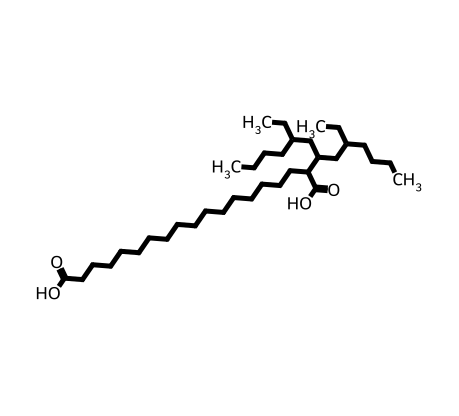 CCCCC(CC)CC(CC(CC)CCCC)C(CCCCCCCCCCCCCCCCC(=O)O)C(=O)O